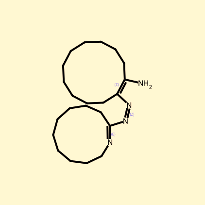 N\C1=C(/N=N\C2=N\CCCCCCCCC2)CCCCCCCCCC1